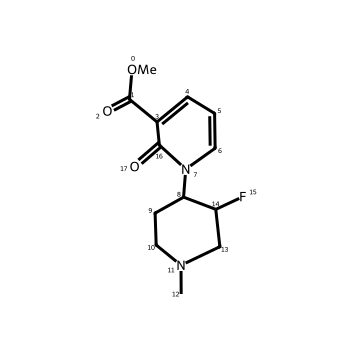 COC(=O)c1cccn(C2CCN(C)CC2F)c1=O